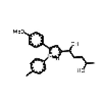 COc1ccc(-c2cc(C(O)CCC(C)O)nn2-c2ccc(C)cc2)cc1